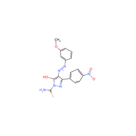 COc1cccc(/N=N/c2c(-c3ccc([N+](=O)[O-])cc3)nn(C(N)=S)c2O)c1